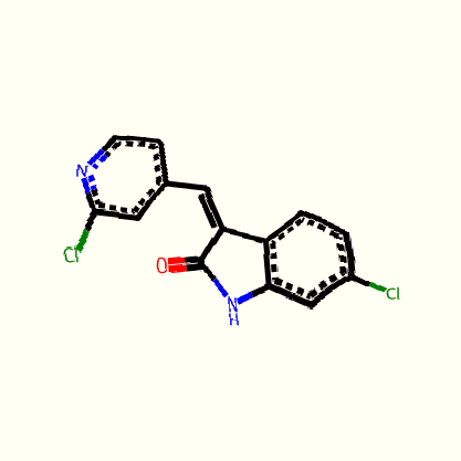 O=C1Nc2cc(Cl)ccc2C1=Cc1ccnc(Cl)c1